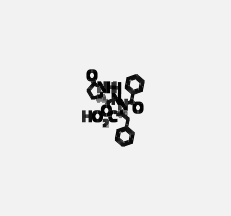 O=C1CC[C@@H](C(=O)NN(C(=O)c2ccccc2)[C@@H](Cc2ccccc2)C(=O)O)N1